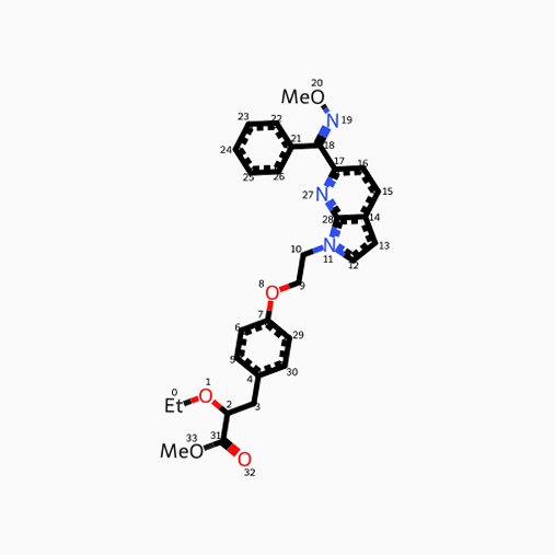 CCOC(Cc1ccc(OCCn2ccc3ccc(/C(=N/OC)c4ccccc4)nc32)cc1)C(=O)OC